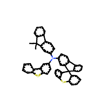 CC1(C)c2ccccc2-c2ccc(N(c3ccc4c(c3)C3(c5ccccc5Sc5ccccc53)c3ccccc3-4)c3ccc4sc5ccccc5c4c3)cc21